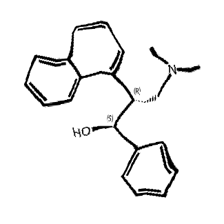 CN(C)C[C@@H](c1cccc2ccccc12)[C@H](O)c1ccccc1